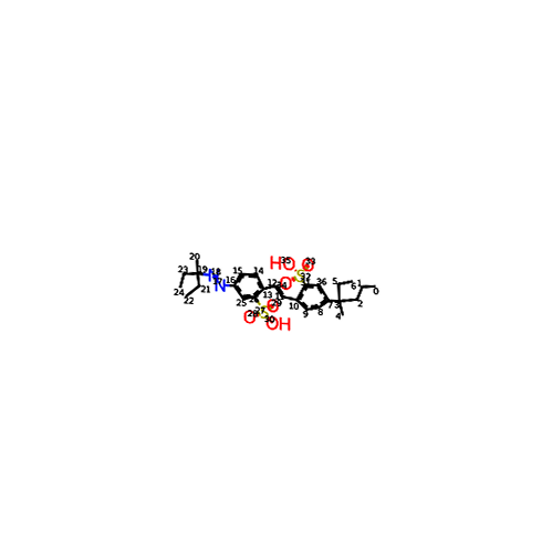 CCCC(C)(CC)c1ccc(C=Cc2ccc(N=NC(C)(CC)CC)cc2S(=O)(=O)O)c(S(=O)(=O)O)c1